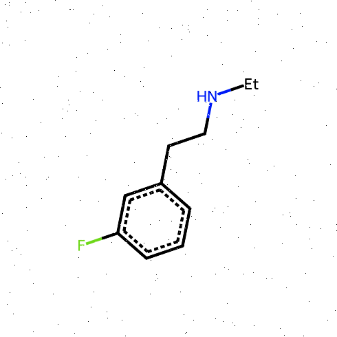 CCNCCc1cccc(F)c1